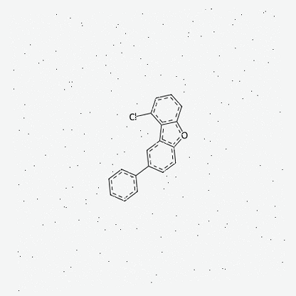 Clc1cccc2oc3ccc(-c4ccccc4)cc3c12